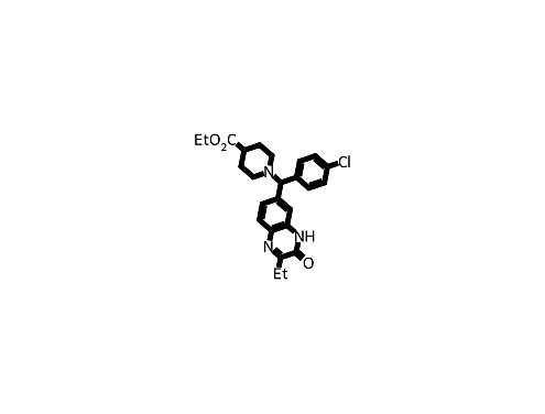 CCOC(=O)C1CCN(C(c2ccc(Cl)cc2)c2ccc3nc(CC)c(=O)[nH]c3c2)CC1